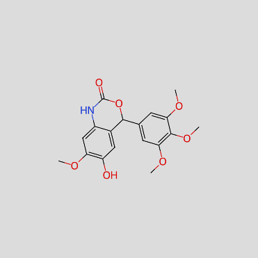 COc1cc2c(cc1O)C(c1cc(OC)c(OC)c(OC)c1)OC(=O)N2